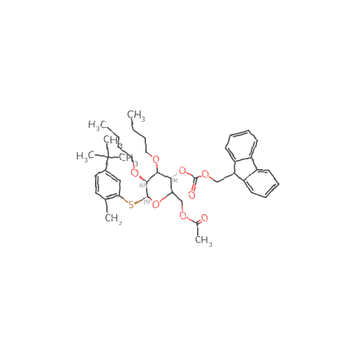 CCCCOC1[C@H](OC(=O)OCC2c3ccccc3-c3ccccc32)C(COC(C)=O)O[C@@H](Sc2cc(C(C)(C)C)ccc2C)[C@H]1OCCCC